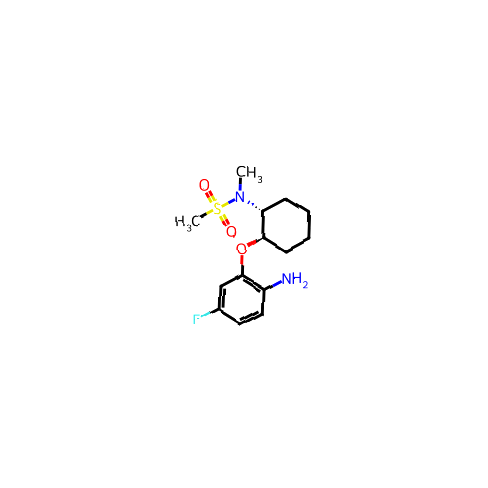 CN([C@@H]1CCCC[C@H]1Oc1cc(F)ccc1N)S(C)(=O)=O